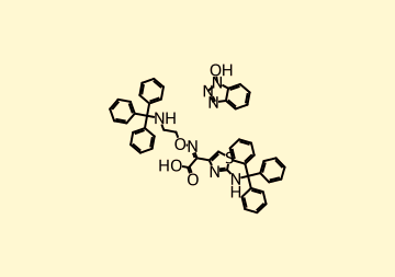 O=C(O)/C(=N\OCCNC(c1ccccc1)(c1ccccc1)c1ccccc1)c1csc(NC(c2ccccc2)(c2ccccc2)c2ccccc2)n1.On1nnc2ccccc21